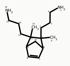 CC1(CCCN)C2C=CC(C2)C1(C)CCCN